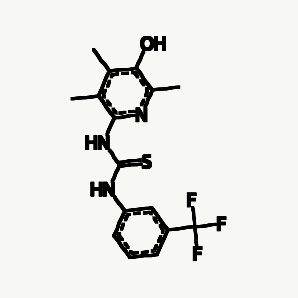 Cc1nc(NC(=S)Nc2cccc(C(F)(F)F)c2)c(C)c(C)c1O